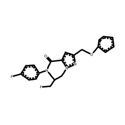 O=C1c2cc(COc3ccccc3)nn2CC(CF)N1c1ccc(F)cc1